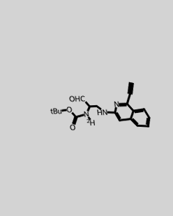 [2H]N(C(=O)OC(C)(C)C)C(C=O)CNc1cc2ccccc2c(C#C)n1